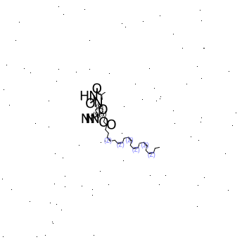 CC/C=C\C/C=C\C/C=C\C/C=C\C/C=C\C/C=C\CCC(=O)OC[C@H]1O[C@H](n2cc(C)c(=O)[nH]c2=O)C[C@@H]1N=[N+]=[N-]